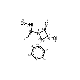 CCNC(=O)N1C(=O)[C@H](O)[C@@H]1c1ccccc1